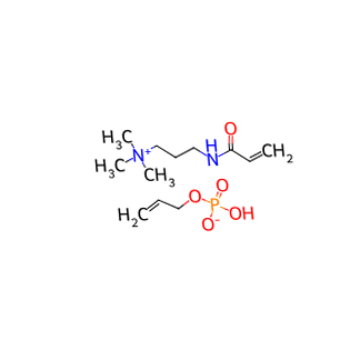 C=CC(=O)NCCC[N+](C)(C)C.C=CCOP(=O)([O-])O